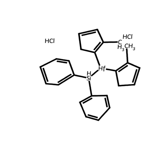 CC1=[C]([Hf]([C]2=C(C)C=CC2)[SiH](c2ccccc2)c2ccccc2)CC=C1.Cl.Cl